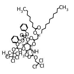 CCCCCCCCCCC[C@H](CC(=O)O[C@@H]1[C@@H](NC(=O)OCC(Cl)(Cl)Cl)[C@@H](Cl)O[C@H](COC(=O)OC(C)(C)C(Cl)(Cl)Cl)[C@H]1OP(=O)(Oc1ccccc1)Oc1ccccc1)OC(=O)CCCCCCC